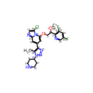 COC(COc1cc(-c2nnn(C3CCNCC3)c2C)cc2ncc(Cl)n12)c1ncc(F)cc1F